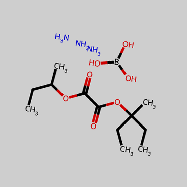 CCC(C)OC(=O)C(=O)OC(C)(CC)CC.N.N.N.OB(O)O